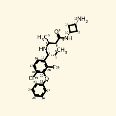 CC[C@@H](N[C@@H](C)CC(=O)N[C@H]1C[C@@H](N)C1)c1ccc(Cl)c(Oc2ccccc2)c1F